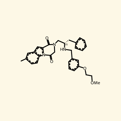 COCCOc1cccc(CN[C@@H](Cc2ccccc2)CN2CC(=O)n3c(cc4cc(C)ccc43)C2=O)c1